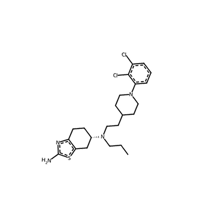 CCCN(CCC1CCN(c2cccc(Cl)c2Cl)CC1)[C@H]1CCc2nc(N)sc2C1